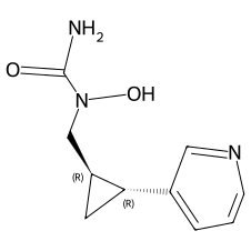 NC(=O)N(O)C[C@@H]1C[C@H]1c1cccnc1